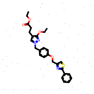 CCOC(=O)CCc1cn(Cc2ccc(OCc3csc(-c4ccccc4)n3)cc2)nc1OCC